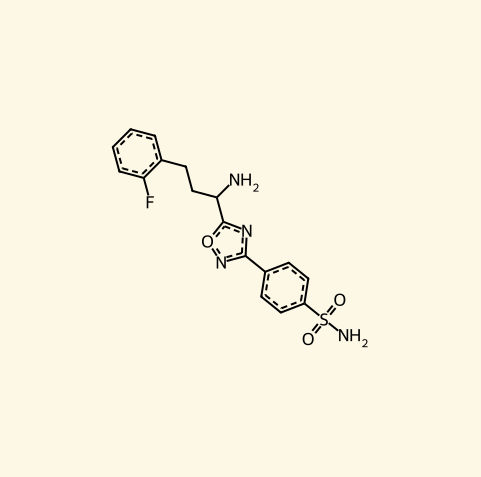 NC(CCc1ccccc1F)c1nc(-c2ccc(S(N)(=O)=O)cc2)no1